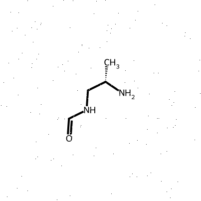 C[C@H](N)CNC=O